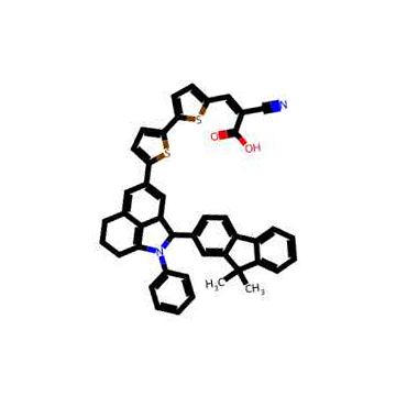 CC1(C)c2ccccc2-c2ccc(C3C4C=C(c5ccc(-c6ccc(C=C(C#N)C(=O)O)s6)s5)C=C5CCCC(=C54)N3c3ccccc3)cc21